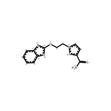 NC(=O)c1[c]cn(CCOc2nc3ccccc3o2)n1